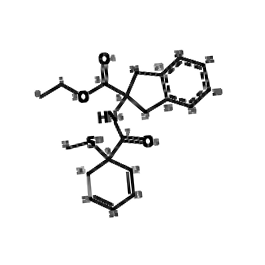 CCOC(=O)C1(NC(=O)C2(SC)C=CC=CC2)Cc2ccccc2C1